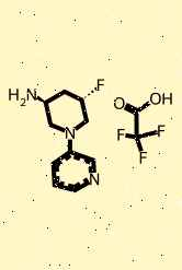 N[C@H]1C[C@H](F)CN(c2cccnc2)C1.O=C(O)C(F)(F)F